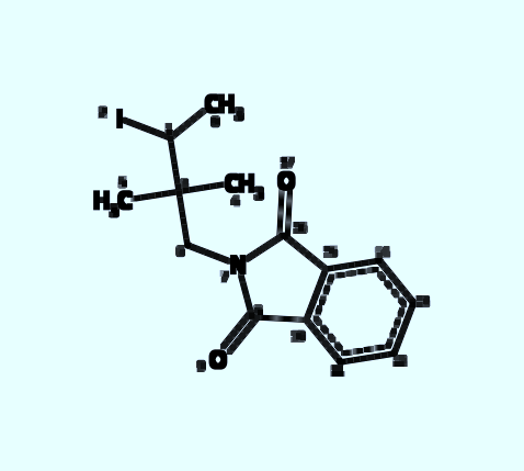 CC(I)C(C)(C)CN1C(=O)c2ccccc2C1=O